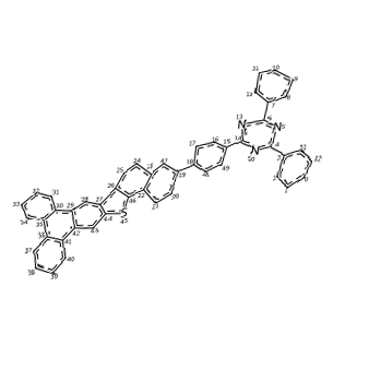 c1ccc(-c2nc(-c3ccccc3)nc(-c3ccc(-c4ccc5c(ccc6c7cc8c9ccccc9c9ccccc9c8cc7sc56)c4)cc3)n2)cc1